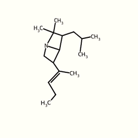 CC/C=C(\C)C1CN2C1C(CC(C)C)C2(C)C